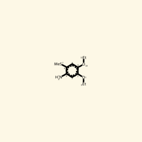 CCOc1cc(N)c(SC)cc1OCC